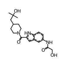 CC(C)(O)CC1CCN(C(=O)c2cc3cc(NC(=O)CO)ccc3[nH]2)CC1